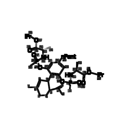 C=C(C)C1CCC(C)=CC1c1c(OP(C)(=O)N[C@@H](C)C(=O)OC(C)C)cc(CCCCC)cc1OP(C)(=O)N[C@@H](C)C(=O)OC(C)C